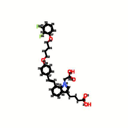 O=C(O)CCCc1cn(CC(=O)O)c2c(/C=C/c3ccc(OCCCCOc4cccc(F)c4F)cc3)cccc12